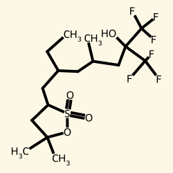 CCC(CC(C)CC(O)(C(F)(F)F)C(F)(F)F)CC1CC(C)(C)OS1(=O)=O